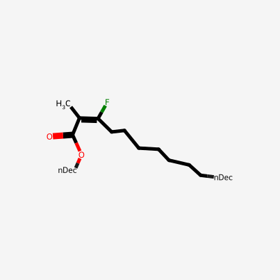 CCCCCCCCCCCCCCCCCC(F)=C(C)C(=O)OCCCCCCCCCC